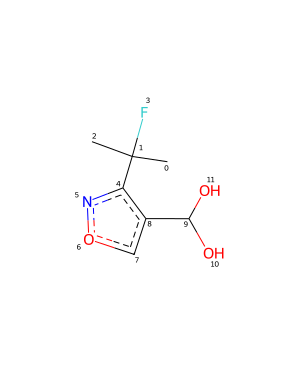 CC(C)(F)c1nocc1C(O)O